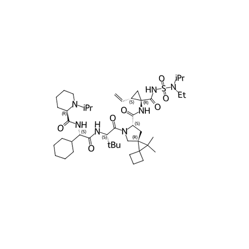 C=C[C@@H]1C[C@]1(NC(=O)[C@@H]1C[C@@]2(CN1C(=O)[C@@H](NC(=O)[C@@H](NC(=O)[C@H]1CCCCN1C(C)C)C1CCCCC1)C(C)(C)C)C(C)(C)C21CCC1)C(=O)NS(=O)(=O)N(CC)C(C)C